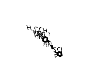 CC(C)S(=O)(=O)NC1CCC(CNCCSCc2c(F)cccc2Cl)CC1